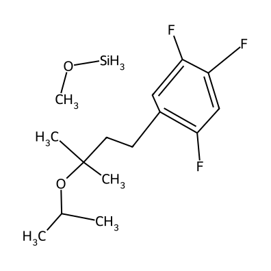 CC(C)OC(C)(C)CCc1cc(F)c(F)cc1F.CO[SiH3]